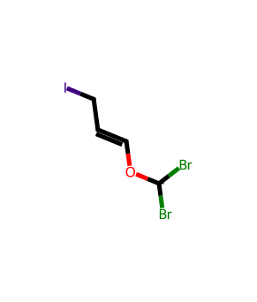 Br[C](Br)OC=CCI